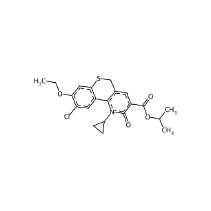 CCOc1cc2c(cc1Cl)-c1c(cc(C(=O)OC(C)C)c(=O)n1C1CC1)CS2